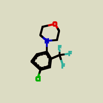 FC(F)(F)c1cc(Cl)ccc1N1CCOCC1